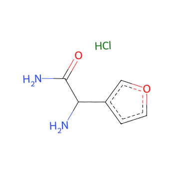 Cl.NC(=O)C(N)c1ccoc1